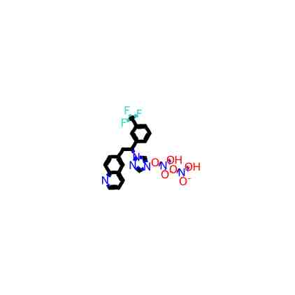 FC(F)(F)c1cccc(C(Cc2ccc3ncccc3c2)n2cncn2)c1.O=[N+]([O-])O.O=[N+]([O-])O